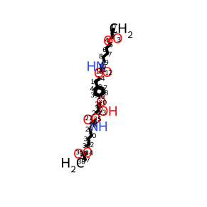 C=CC(=O)OCCCCCNC(=O)OCCc1ccc(OCC(O)COC(=O)NCCCCCOC(=O)C=C)cc1